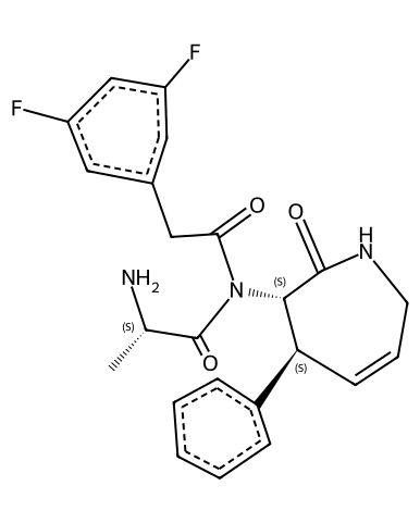 C[C@H](N)C(=O)N(C(=O)Cc1cc(F)cc(F)c1)[C@@H]1C(=O)NCC=C[C@H]1c1ccccc1